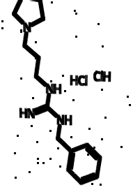 Cl.Cl.N=C(NCCCN1CCCC1)NCc1ccccc1